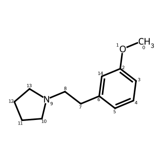 COc1cccc(CCN2CCCC2)c1